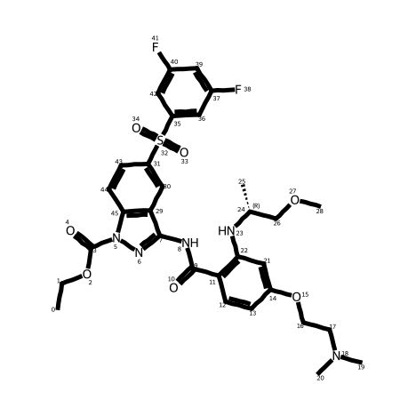 CCOC(=O)n1nc(NC(=O)c2ccc(OCCN(C)C)cc2N[C@H](C)COC)c2cc(S(=O)(=O)c3cc(F)cc(F)c3)ccc21